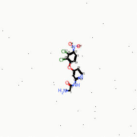 NCC(=O)Nc1cc(Oc2ccc([N+](=O)[O-])c(Cl)c2Cl)ccn1